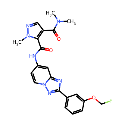 CN(C)C(=O)c1cnn(C)c1C(=O)Nc1ccn2nc(-c3cccc(OCF)c3)nc2c1